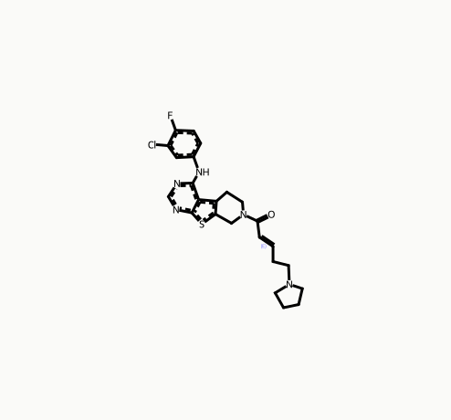 O=C(/C=C/CCN1CCCC1)N1CCc2c(sc3ncnc(Nc4ccc(F)c(Cl)c4)c23)C1